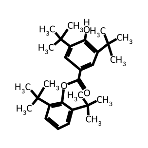 CC(C)(C)c1cc(C(=O)Oc2c(C(C)(C)C)cccc2C(C)(C)C)cc(C(C)(C)C)c1O